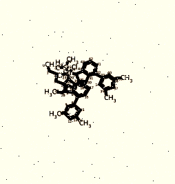 CCCCC1=Cc2c(-c3cc(C)cc(C)c3)cccc2[CH]1[Zr]([Cl])([Cl])([CH]1C(CCCC)=Cc2c(-c3cc(C)cc(C)c3)cccc21)[SiH](C)C